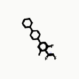 Cc1cc(C2CCC(C3CCCCC3)CC2)cc(F)c1/C(F)=C/F